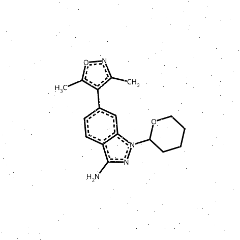 Cc1noc(C)c1-c1ccc2c(N)nn(C3CCCCO3)c2c1